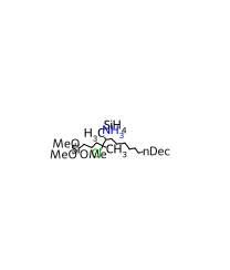 CCCCCCCCCCCCCCCCC(C)C(C)(Cl)CCC[Si](OC)(OC)OC.N.[SiH4]